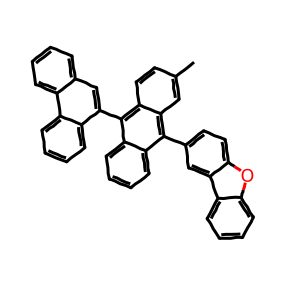 Cc1ccc2c(-c3cc4ccccc4c4ccccc34)c3ccccc3c(-c3ccc4oc5ccccc5c4c3)c2c1